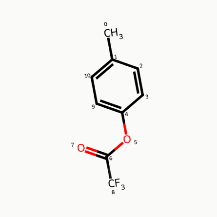 Cc1ccc(OC(=O)C(F)(F)F)cc1